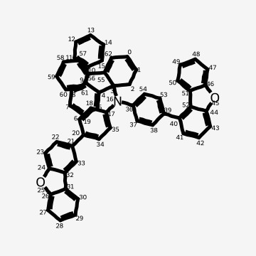 C1=CCC(c2ccccc2-c2ccccc2)(N(c2ccc(-c3ccc4oc5ccccc5c4c3)cc2)c2ccc(-c3cccc4oc5ccccc5c34)cc2)C(c2ccccc2)=C1